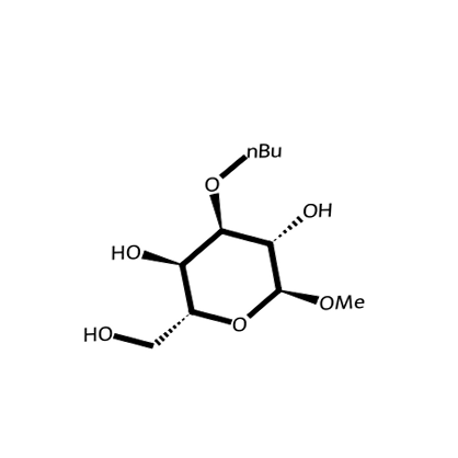 CCCCO[C@H]1[C@H](O)[C@@H](OC)O[C@H](CO)[C@H]1O